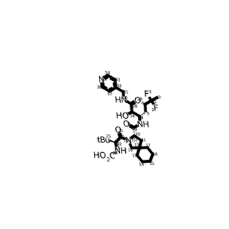 CC(F)(F)CC[C@H](NC(=O)[C@@H]1CC2(CCCCC2)CN1C(=O)[C@@H](NC(=O)O)C(C)(C)C)C(O)C(=O)NCc1ccncc1